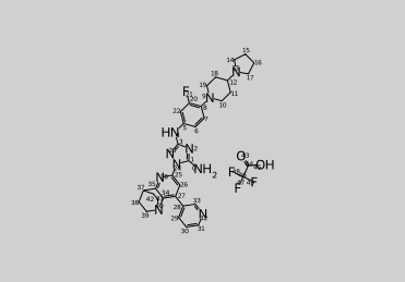 Nc1nc(Nc2ccc(N3CCC(N4CCCC4)CC3)c(F)c2)nn1-c1cc(-c2cccnc2)c2c(n1)C1CCN2CC1.O=C(O)C(F)(F)F